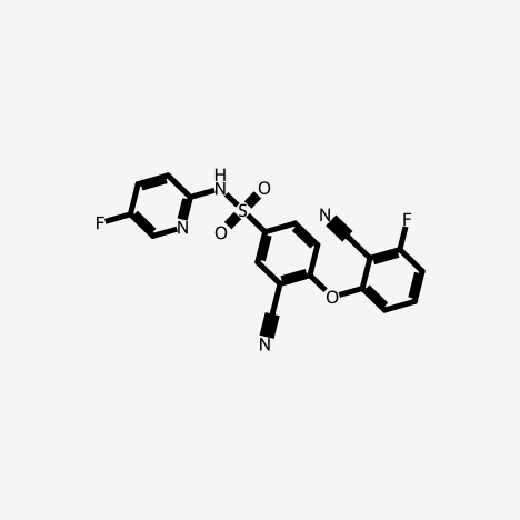 N#Cc1cc(S(=O)(=O)Nc2ccc(F)cn2)ccc1Oc1cccc(F)c1C#N